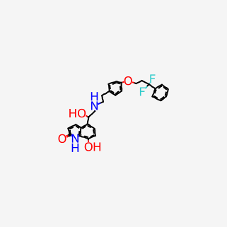 O=c1ccc2c(C(O)CNCCc3ccc(OCCC(F)(F)c4ccccc4)cc3)ccc(O)c2[nH]1